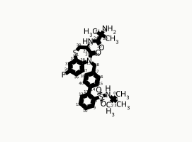 CC(C)(C)NS(=O)(=O)c1ccccc1-c1ccc(CN2C(=O)[C@H](NC(=O)C(C)(C)N)CSc3cc(F)ccc32)cc1